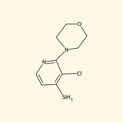 [SiH3]c1ccnc(N2CCOCC2)c1Cl